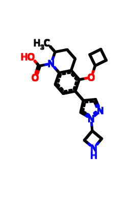 CC1CCc2c(ccc(-c3cnn(C4CNC4)c3)c2OC2CCC2)N1C(=O)O